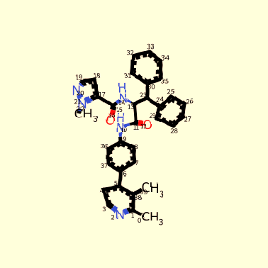 Cc1nccc(-c2ccc(NC(=O)[C@@H](NC(=O)c3ccnn3C)C(c3ccccc3)c3ccccc3)cc2)c1C